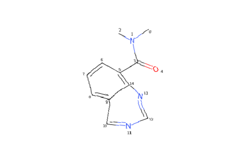 CN(C)C(=O)c1cccc2cncnc12